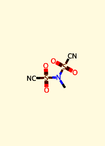 CN(S(=O)(=O)C#N)S(=O)(=O)C#N